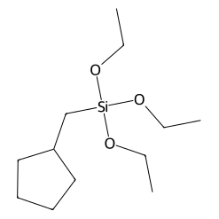 CCO[Si](CC1CCCC1)(OCC)OCC